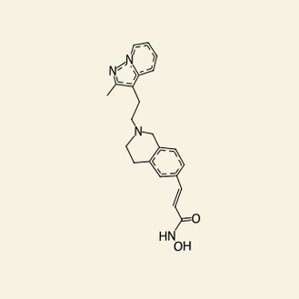 Cc1nn2ccccc2c1CCN1CCc2cc(C=CC(=O)NO)ccc2C1